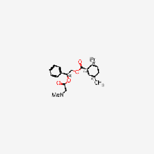 CNCC(=O)O[C@H](COC(=O)[C@@H]1C[C@H](C)CC[C@H]1C(C)C)c1ccccc1